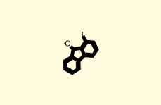 [O]C1c2ccccc2-c2cccc(I)c21